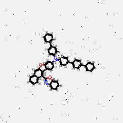 c1ccc(-c2ccc(-c3ccc(N(c4ccc(-c5ccccc5)cc4)c4ccc5c(c4)oc4cc6ccccc6c(-c6nc7ccccc7o6)c45)cc3)cc2)cc1